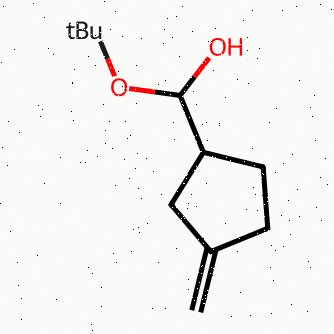 C=C1CCC(C(O)OC(C)(C)C)C1